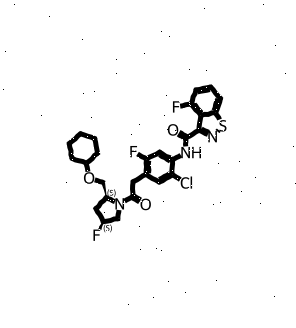 O=C(Nc1cc(F)c(CC(=O)N2C[C@@H](F)C[C@H]2COC2CCCCC2)cc1Cl)c1nsc2cccc(F)c12